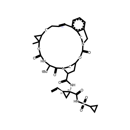 C=C[C@@H]1C[C@]1(NC(=O)C1CC2CN1C(=O)C(C(C)(C)C)NC(=O)OC1(C)CC1CC/C=C/c1cccc3c1CN(C3)C(=O)O2)C(=O)NS(=O)(=O)C1CC1